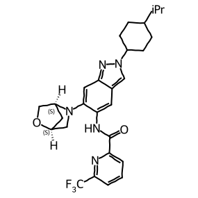 CC(C)C1CCC(n2cc3cc(NC(=O)c4cccc(C(F)(F)F)n4)c(N4C[C@@H]5C[C@H]4CO5)cc3n2)CC1